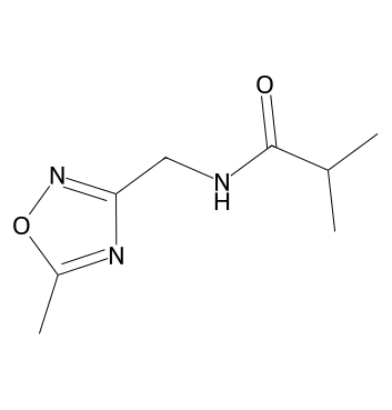 Cc1nc(CNC(=O)C(C)C)no1